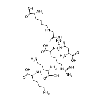 N=C(N)NCCCCC(N)C(=O)O.NC(CCCCNCC(=O)O)C(=O)O.NC(Cc1c[nH]cn1)C(=O)O.NCCCC(N)C(=O)O.NCCCCC(N)C(=O)O